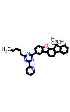 C=C/C=C\Cc1nc(-c2ccc3oc4c5c(ccc4c3c2)-c2ccccc2C5(C)C)nc(-c2ccccn2)n1